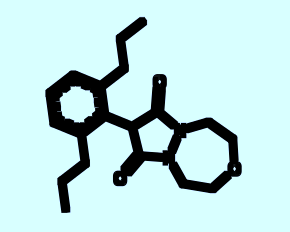 CCCc1cccc(CCC)c1C1C(=O)N2CCOCCN2C1=O